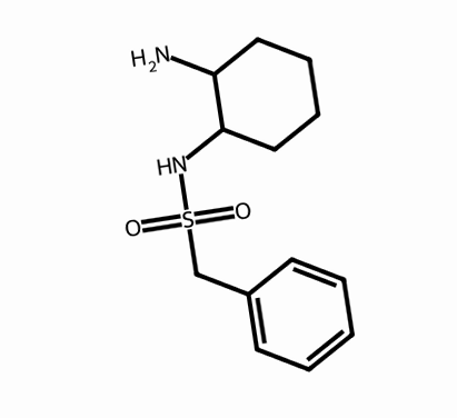 NC1CCCCC1NS(=O)(=O)Cc1ccccc1